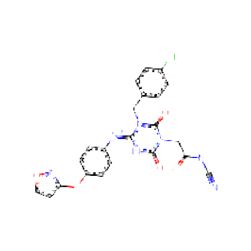 N#CNC(=O)Cn1c(=O)[nH]/c(=N\c2ccc(Oc3ccon3)cc2)n(Cc2ccc(Cl)cc2)c1=O